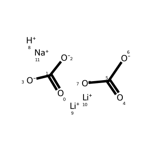 O=C([O-])[O-].O=C([O-])[O-].[H+].[Li+].[Li+].[Na+]